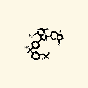 CC(O)(c1ccc(-c2nc([C@@H]3CC[C@H]4CCC(=O)N4C3)n3c(Cl)cnc(N)c23)cc1)c1cccc(CC(F)(F)F)c1